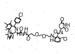 Cc1sc2c(c1C)C(c1ccc(Cl)cc1)=N[C@@H](CC(=O)NNC(=O)CCOCCOCCNc1cccc(C=O)c1C(=O)N(C)C1CCC(=O)NC1=O)c1nnc(C)n1-2